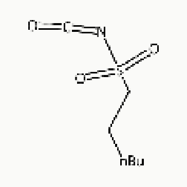 CCCCCCS(=O)(=O)N=C=O